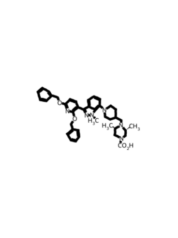 C[C@@H]1CN(C(=O)O)C[C@H](C)N1CC1CCN(c2cccc3c(-c4ccc(OCc5ccccc5)nc4OCc4ccccc4)nn(C)c23)CC1